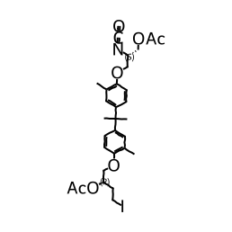 CC(=O)OC[C@H](COc1ccc(C(C)(C)c2ccc(OC[C@@H](CCI)OC(C)=O)c(C)c2)cc1C)N=C=O